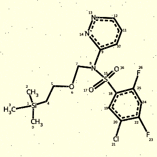 C[Si](C)(C)CCOCN(c1cccnn1)S(=O)(=O)c1cc(Cl)c(F)cc1F